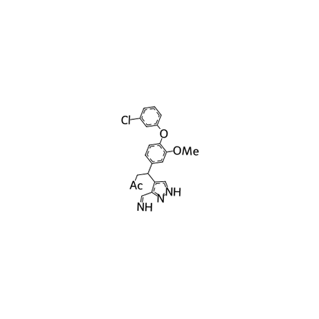 COc1cc(C(CC(C)=O)c2c[nH]nc2C=N)ccc1Oc1cccc(Cl)c1